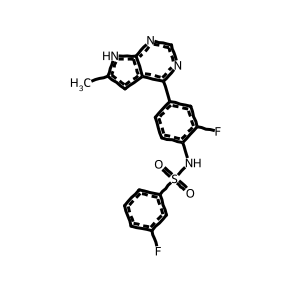 Cc1cc2c(-c3ccc(NS(=O)(=O)c4cccc(F)c4)c(F)c3)ncnc2[nH]1